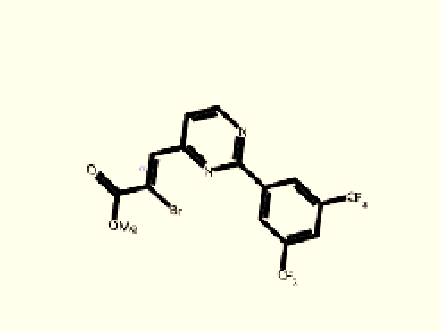 COC(=O)/C(Br)=C/c1ccnc(-c2cc(C(F)(F)F)cc(C(F)(F)F)c2)n1